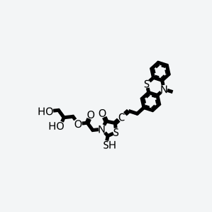 CN1c2ccccc2Sc2cc(CC=C=C3SC(S)N(CC(=O)OCC(O)CO)C3=O)ccc21